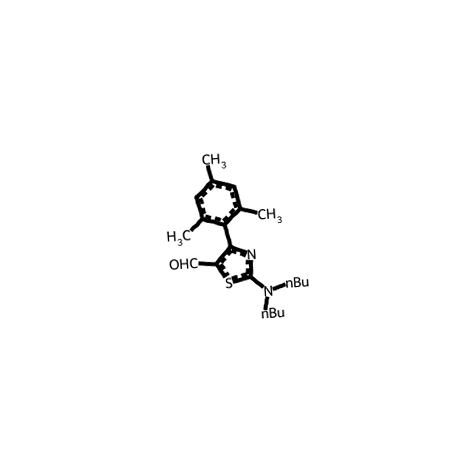 CCCCN(CCCC)c1nc(-c2c(C)cc(C)cc2C)c(C=O)s1